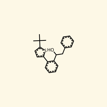 CC(C)(C)c1ccc(-c2ccccc2C(O)Cc2ccccc2)s1